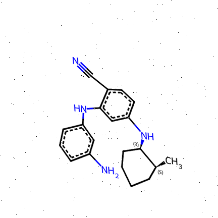 C[C@H]1CCCC[C@H]1Nc1ccc(C#N)c(Nc2cccc(N)c2)c1